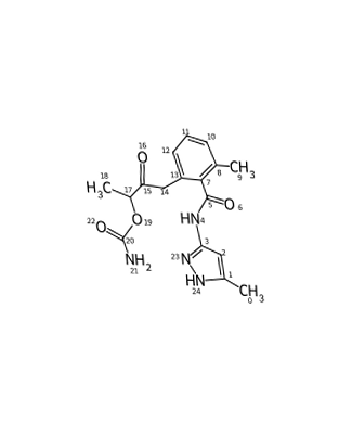 Cc1cc(NC(=O)c2c(C)cccc2CC(=O)C(C)OC(N)=O)n[nH]1